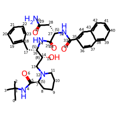 CC(C)(C)NC(=O)[C@@H]1CCCCN1C[C@@H](O)[C@H](Cc1ccccc1)NC(=O)[C@H](CC(N)=O)NC(=O)c1ccc2ccccc2c1